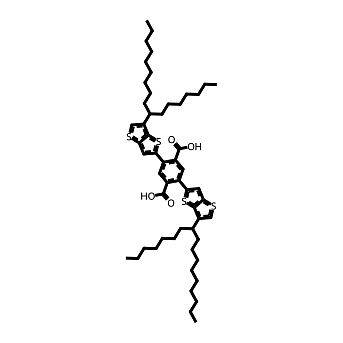 CCCCCCCCCC(CCCCCCC)c1csc2cc(-c3cc(C(=O)O)c(-c4cc5scc(C(CCCCCCC)CCCCCCCCC)c5s4)cc3C(=O)O)sc12